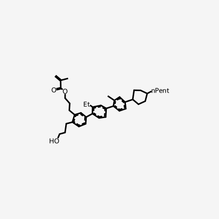 C=C(C)C(=O)OCCCc1cc(-c2ccc(-c3ccc(C4CCC(CCCCC)CC4)cc3C)cc2CC)ccc1CCCO